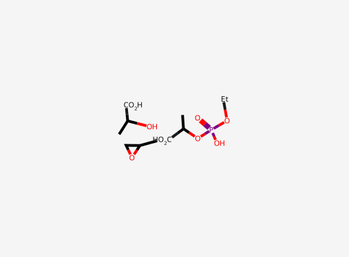 CC(O)C(=O)O.CC1CO1.CCOP(=O)(O)OC(C)C(=O)O